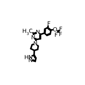 Cc1nc(-c2ccc(OC(F)(F)F)c(F)c2)cc(N2CCC(c3ccn[nH]3)CC2)n1